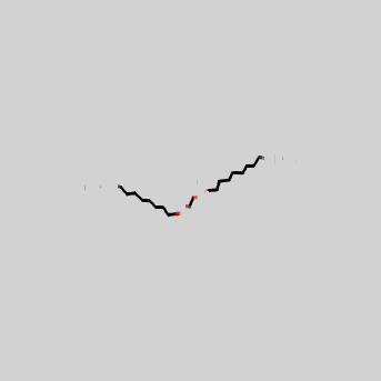 CCCCCCCCCCCCCCCCCCC(=O)OCCOC(=O)CCCCCCCCCCCCCCCCCC